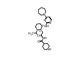 CC(C)N1CCC[C@H](Nc2nccc(N3CCCCCC3)n2)[C@H]1CCNC(=O)C1CCNCC1